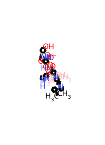 BC1(B)CC2(CC(N3CCC[C@H]3c3ccccc3C(C)C)C2)CC(B)(B)N1c1ccc(C(=O)NS(=O)(=O)c2cc3c(c([N+](=O)[O-])c2)N[C@H](C[C@H]2CC[C@H](O)CC2)CO3)c(Oc2cnc3[nH]ccc3c2)c1